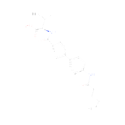 CCCCC(=O)Nc1ccc(-c2ccc(C(=O)N[C@@H](C(=O)O)C(C)C)cc2)cc1